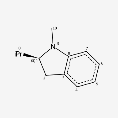 CC(C)[C@@H]1Cc2ccccc2N1C